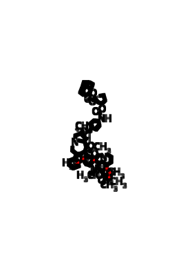 CC[C@]1(OCc2ccc(NC(=O)OC3CCC[C@]4(C3)OOC3(O4)C4CC5CC(C4)CC3C5)cc2)C[C@H]2C[N@](CCc3c([nH]c4ccccc34)[C@@](C(=O)OC)(c3cc4c(cc3OC)N(C)[C@H]3[C@@](O)(C(=O)OC)[C@H](OC(C)=O)[C@]5(CC)C=CCN6CC[C@]43[C@@H]65)C2)C1